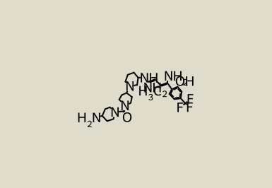 CC(/C=C(\N)NC1CCCN(C2CCN(C(=O)N3CCC(N)CC3)CC2)C1)=C(/N)c1ccc(C(F)(F)F)cc1O